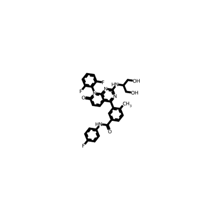 Cc1ccc(C(=O)Nc2ccc(F)cc2)cc1-c1nc(NC(CO)CO)nc2c1ccc(=O)n2-c1c(F)cccc1F